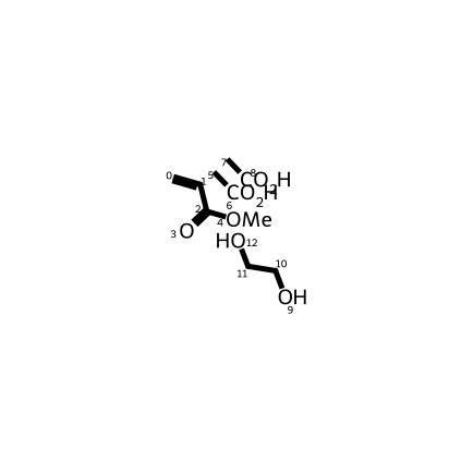 C=CC(=O)OC.CC(=O)O.CC(=O)O.OCCO